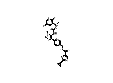 C[C@@H](OC(=O)Nc1c(-c2ccc(CNC(=O)c3cnc(C4CC4)o3)cn2)nnn1C)c1cc(F)cnc1F